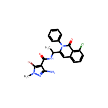 CC(NC(=O)c1c(N)nn(C)c1Br)c1cc2cccc(Cl)c2c(=O)n1-c1ccccc1